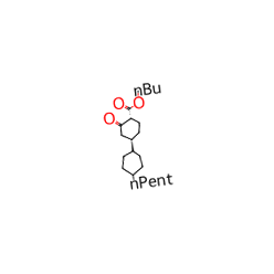 CCCCCC1CCC([C@@H]2CC[C@@H](C(=O)OCCCC)C(=O)C2)CC1